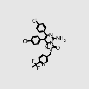 CC(F)(F)c1ccc(Cn2nc3c(-c4ccc(Cl)cc4)c(-c4ccc(Cl)cc4)nc(N)n3c2=O)cn1